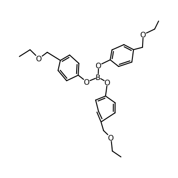 CCOCc1ccc(OB(Oc2ccc(COCC)cc2)Oc2ccc(COCC)cc2)cc1